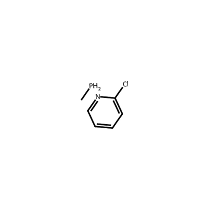 CP.Clc1ccccn1